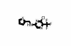 FC(F)(F)c1ncc(NCc2cccs2)nc1Cl